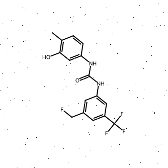 Cc1ccc(NC(=O)Nc2cc(CF)cc(C(F)(F)F)c2)cc1O